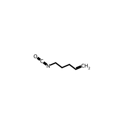 C=CCCCN=C=O